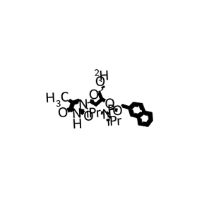 [2H]OC[C@H]1O[C@@H](n2cc(C)c(=O)[nH]c2=O)CC1OP(OCc1ccc2ccccc2c1)N(C(C)C)C(C)C